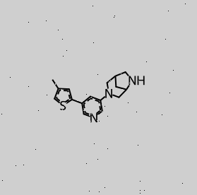 Cc1csc(-c2cncc(N3CC4CNC(C4)C3)c2)c1